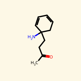 CC(=O)CCC1(N)C=CC=CC1